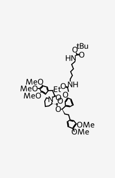 CC[C@H](C(=O)N1CCCC[C@H]1C(=O)O[C@H](CCc1ccc(OC)c(OC)c1)c1cccc(OCC(=O)NCCCCCCNC(=O)OC(C)(C)C)c1)c1cc(OC)c(OC)c(OC)c1